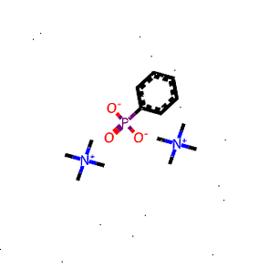 C[N+](C)(C)C.C[N+](C)(C)C.O=P([O-])([O-])c1ccccc1